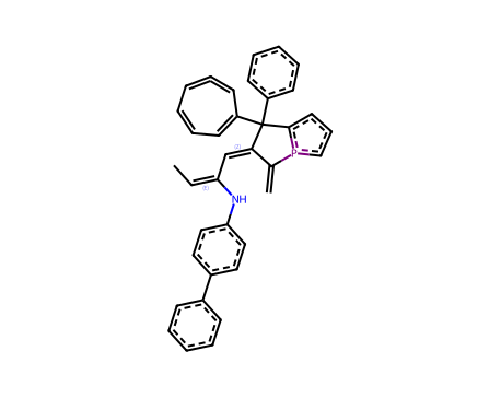 C=C1/C(=C\C(=C/C)Nc2ccc(-c3ccccc3)cc2)C(C2=CC=CC=C=C2)(c2ccccc2)c2cccp21